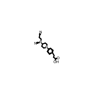 N#CCCN(C#N)C1CCN(c2ccc(CCC(=O)O)cc2)CC1